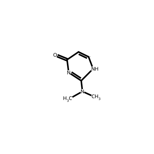 CN(C)c1nc(=O)c[c][nH]1